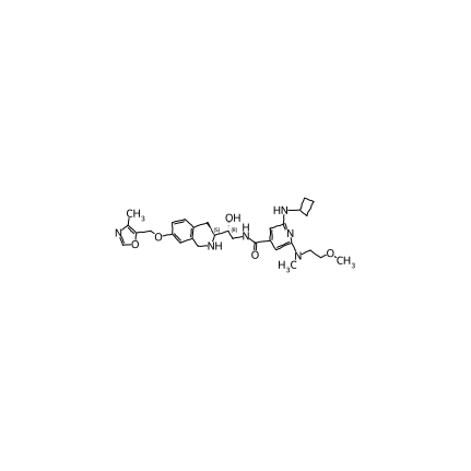 COCCN(C)c1cc(C(=O)NC[C@@H](O)[C@@H]2Cc3ccc(OCc4ocnc4C)cc3CN2)cc(NC2CCC2)n1